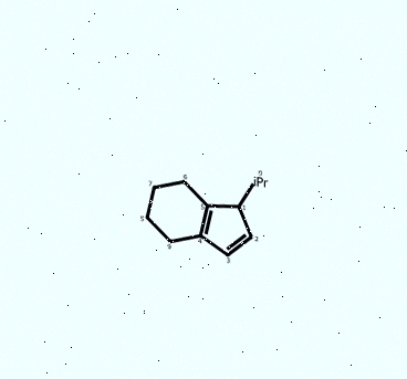 CC(C)[C]1C=CC2=C1CCCC2